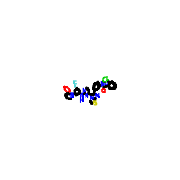 O=C(Nc1cccc(-c2nc3sccn3c2-c2ccnc(Nc3cc(F)cc(N4CCCC4=O)c3)n2)c1)c1ccccc1Cl